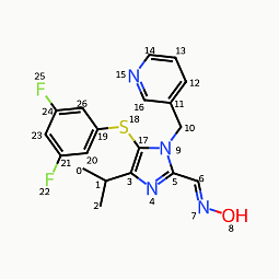 CC(C)c1nc(C=NO)n(Cc2cccnc2)c1Sc1cc(F)cc(F)c1